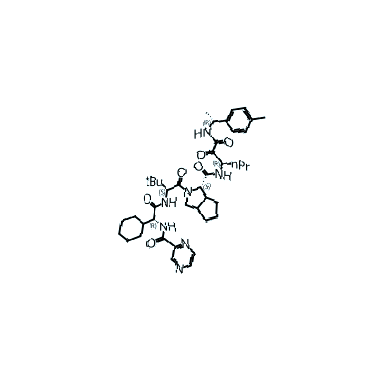 CCC[C@@H](NC(=O)[C@@H]1C2CCCC2CN1C(=O)[C@@H](NC(=O)[C@H](NC(=O)c1cnccn1)C1CCCCC1)C(C)(C)C)C(=O)C(=O)N[C@H](C)c1ccc(C)cc1